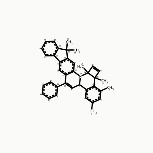 Cc1cc(C)c2c(c1)C1C=C(c3ccccc3)c3cc4c(cc3N1C1(C)C=CC21C)C(C)(C)c1ccccc1-4